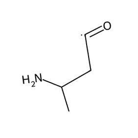 CC(N)C[C]=O